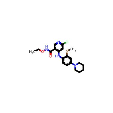 CCONC(=O)c1cnc(Cl)cc1Nc1ccc(N2CCCCC2)cc1SC